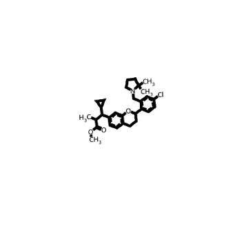 COC(=O)C(C)C(c1ccc2c(c1)OC(c1ccc(Cl)cc1CN1CCCC1(C)C)CC2)C1CC1